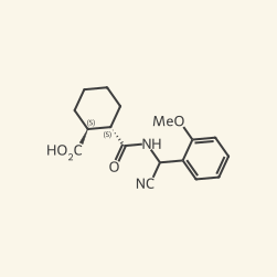 COc1ccccc1C(C#N)NC(=O)[C@H]1CCCC[C@@H]1C(=O)O